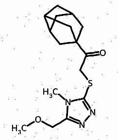 COCc1nnc(SCC(=O)C23CC4CC(C2)C(C4)C3)n1C